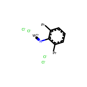 CC(C)c1cccc(C(C)C)c1[N]=[W+4].[Cl-].[Cl-].[Cl-].[Cl-]